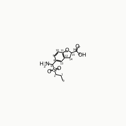 CCCS(=O)(=O)C(N)c1ccc2c(c1)CC(C(=O)O)O2